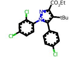 CCOC(=O)c1nn(-c2ccc(Cl)cc2Cl)c(-c2ccc(Cl)cc2)c1C(C)(C)C